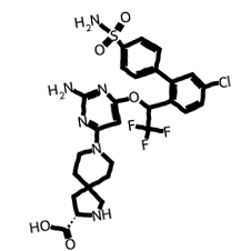 Nc1nc(OC(c2ccc(Cl)cc2-c2ccc(S(N)(=O)=O)cc2)C(F)(F)F)cc(N2CCC3(CC2)CN[C@H](C(=O)O)C3)n1